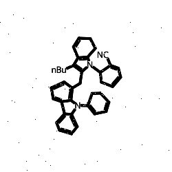 CCCCc1c2c(n(C3CC=CC=C3C#N)c1Cc1cccc3c4ccccc4n(C4=CC=CCC4)c13)CCC=C2